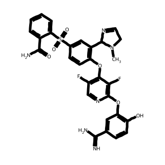 CN1CC=NC1c1cc(S(=O)(=O)c2ccccc2C(N)=O)ccc1Oc1c(F)cnc(Oc2cc(C(=N)N)ccc2O)c1F